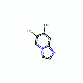 N#Cc1cc2nccn2cc1Br